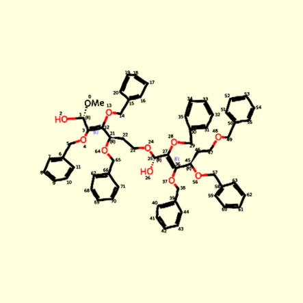 CO[C@@H](O)/C(OCc1ccccc1)=C(\OCc1ccccc1)[C@@H](CCO[C@@H](O)/C(OCc1ccccc1)=C(\OCc1ccccc1)[C@@H](CCOCc1ccccc1)OCc1ccccc1)OCc1ccccc1